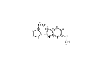 O=C(O)N1CCCC1c1nc2cc(CO)ccc2[nH]1